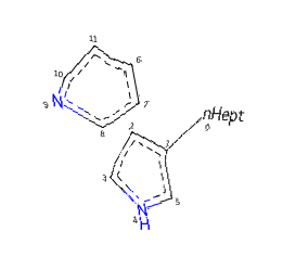 CCCCCCCc1cc[nH]c1.c1ccncc1